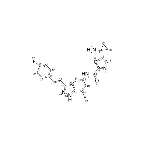 NC1(c2nnc(C(=O)Nc3cc(F)c4[nH]nc(/C=C/c5ccc(F)cc5)c4c3)o2)CC1